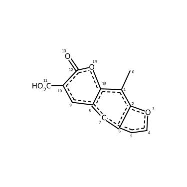 Cc1c2occc2cc2cc(C(=O)O)c(=O)oc12